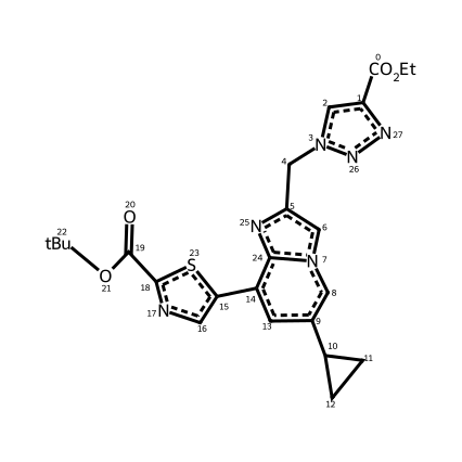 CCOC(=O)c1cn(Cc2cn3cc(C4CC4)cc(-c4cnc(C(=O)OC(C)(C)C)s4)c3n2)nn1